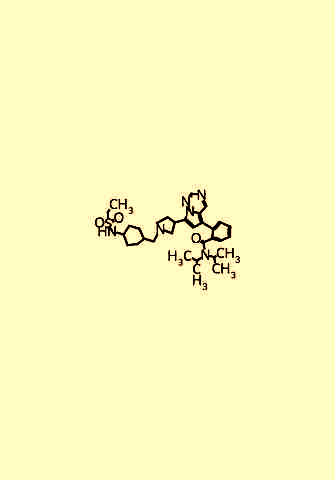 CCS(=O)(=O)NC1CCC(CN2CCC(c3cc(-c4ccccc4C(=O)N(C(C)C)C(C)C)c4cncnn34)C2)CC1